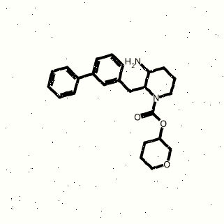 NC1CCCN(C(=O)OC2CCCOC2)C1Cc1cccc(-c2ccccc2)c1